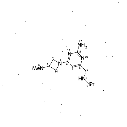 CNC1CN(c2cc(CNC(C)C)nc(N)n2)C1